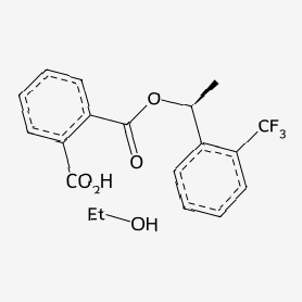 CCO.C[C@H](OC(=O)c1ccccc1C(=O)O)c1ccccc1C(F)(F)F